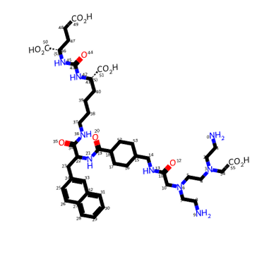 NCCN(CCN(CCN)CC(=O)NCC1CCC(C(=O)NC(Cc2ccc3ccccc3c2)C(=O)NCCCC[C@H](NC(=O)N[C@@H](CCC(=O)O)C(=O)O)C(=O)O)CC1)CC(=O)O